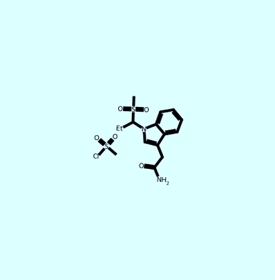 CCC(n1cc(CC(N)=O)c2ccccc21)S(C)(=O)=O.CS(=O)(=O)Cl